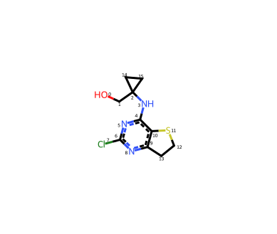 OCC1(Nc2nc(Cl)nc3c2SCC3)CC1